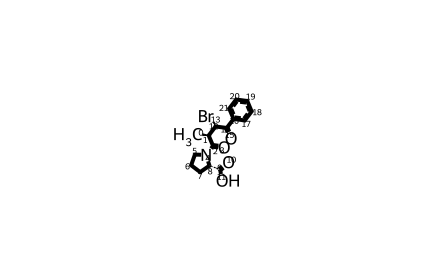 C[C@H](C(=O)N1CCC[C@H]1C(=O)O)[C@H](Br)C(=O)c1ccccc1